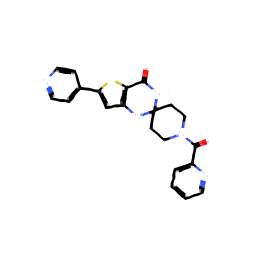 O=C1NC2(CCN(C(=O)c3ccccn3)CC2)Nc2cc(-c3ccncc3)sc21